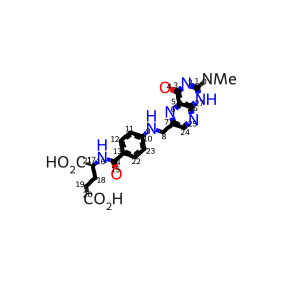 CNc1nc(=O)c2nc(CNc3ccc(C(=O)N[C@@H](CCC(=O)O)C(=O)O)cc3)cnc2[nH]1